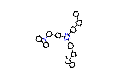 C=C/C(c1cccc(-c2ccc(-c3nc(-c4ccc(-c5cccc(-c6ccccc6)c5)cc4)nc(-c4ccc(-c5cccc(-n6c7ccccc7c7ccccc76)c5)cc4)n3)cc2)c1)=c1/cccc/c1=C/C